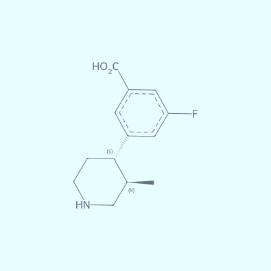 C[C@H]1CNCC[C@@H]1c1cc(F)cc(C(=O)O)c1